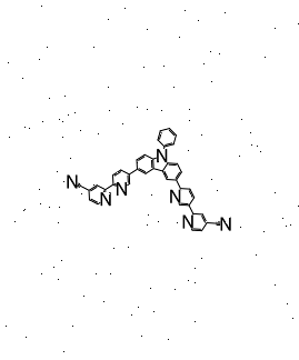 N#Cc1ccnc(-c2ccc(-c3ccc4c(c3)c3cc(-c5ccc(-c6cc(C#N)ccn6)nc5)ccc3n4-c3ccccc3)nc2)c1